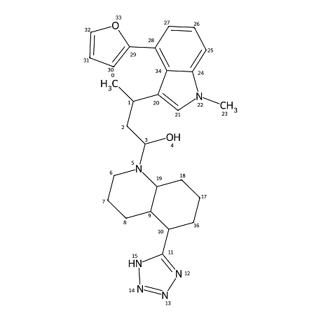 CC(CC(O)N1CCCC2C(c3nnn[nH]3)CCCC21)c1cn(C)c2cccc(-c3ccco3)c12